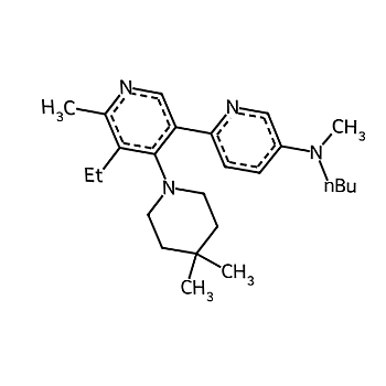 CCCCN(C)c1ccc(-c2cnc(C)c(CC)c2N2CCC(C)(C)CC2)nc1